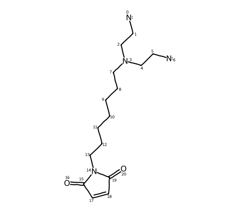 [N]CCN(CC[N])CCCCCCCN1C(=O)C=CC1=O